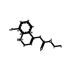 CCOC(=O)CC1=CCNc2c(F)cccc21